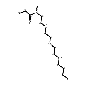 CCCCOCCOCCOCCN(C)C(=O)CC